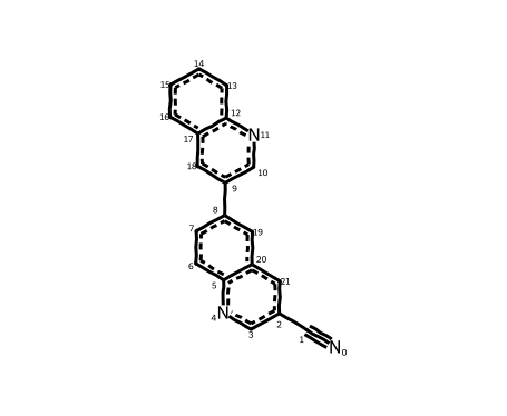 N#Cc1cnc2ccc(-c3cnc4ccccc4c3)cc2c1